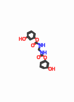 O=C(NCNC(=O)Oc1cccc(O)c1)Oc1cccc(O)c1